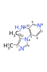 Cc1ncn(-c2ccncc2N)c1C